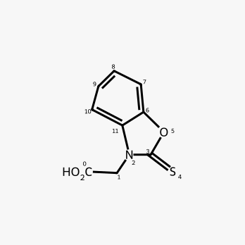 O=C(O)Cn1c(=S)oc2ccccc21